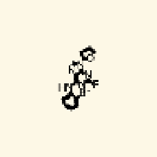 Fc1nc(Nc2ccccc2Br)c2ncn(C3CCCO3)c2n1